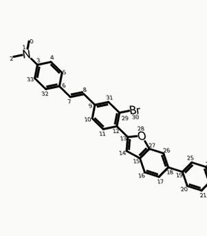 CN(C)c1ccc(/C=C/c2ccc(-c3cc4ccc(-c5ccc(Cl)cc5)cc4o3)c(Br)c2)cc1